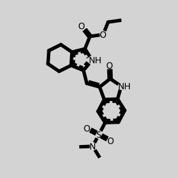 CCOC(=O)c1[nH]c(C=C2C(=O)Nc3ccc(S(=O)(=O)N(C)C)cc32)c2c1CCCC2